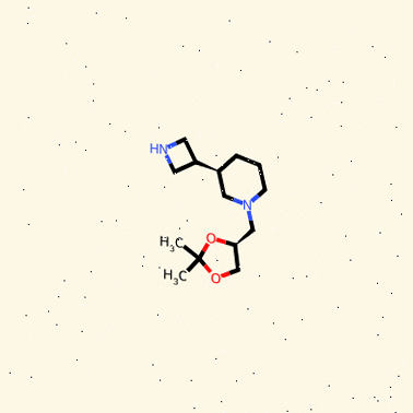 CC1(C)OC[C@H](CN2CCC[C@H](C3CNC3)C2)O1